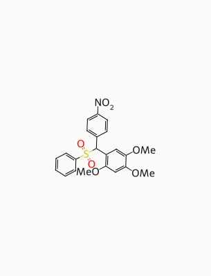 COc1cc(OC)c(C(c2ccc([N+](=O)[O-])cc2)S(=O)(=O)c2ccccc2)cc1OC